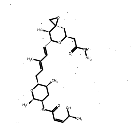 CC(/C=C/[C@H]1O[C@H](CC(=O)NN)C[C@@]2(CO2)[C@@H]1O)=C\C[C@@H]1O[C@H](C)[C@H](NC(=O)/C=C\[C@H](C)O)C[C@@H]1C